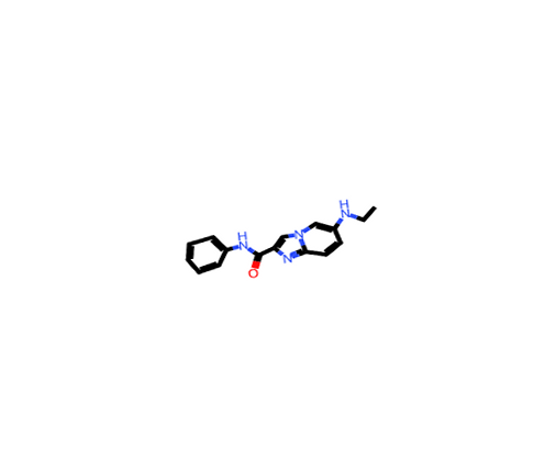 CCNc1ccc2nc(C(=O)Nc3ccccc3)cn2c1